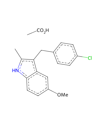 CC(=O)O.COc1ccc2[nH]c(C)c(Cc3ccc(Cl)cc3)c2c1